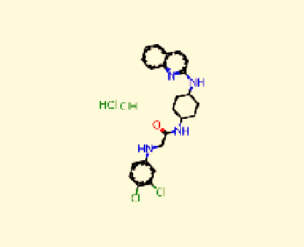 Cl.Cl.O=C(CNc1ccc(Cl)c(Cl)c1)NC1CCC(Nc2ccc3ccccc3n2)CC1